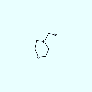 BrCN1CCOCC1